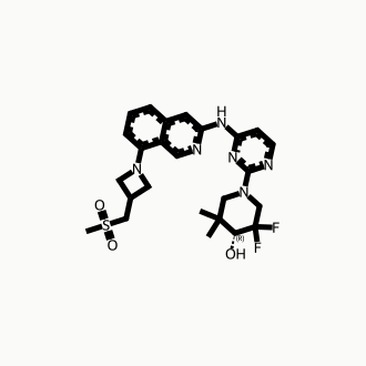 CC1(C)CN(c2nccc(Nc3cc4cccc(N5CC(CS(C)(=O)=O)C5)c4cn3)n2)CC(F)(F)[C@@H]1O